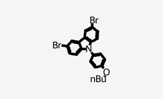 CCCCOc1ccc(-n2c3ccc(Br)cc3c3cc(Br)ccc32)cc1